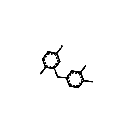 Cc1ccc(Cc2cc(F)ccc2C)cc1C